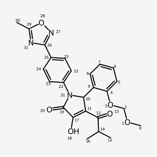 COCOc1ccccc1C1C(C(=O)C(C)C)=C(O)C(=O)N1c1ccc(-c2noc(C)n2)cc1